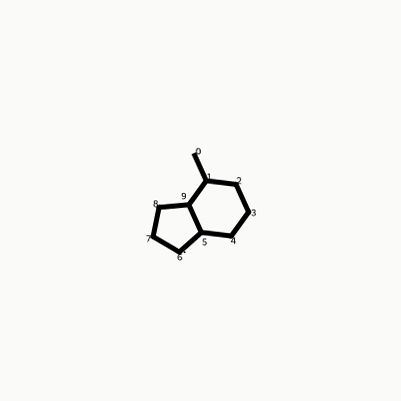 CC1CCCC2[CH]CCC12